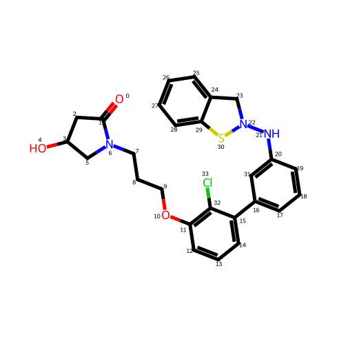 O=C1CC(O)CN1CCCOc1cccc(-c2cccc(NN3Cc4ccccc4S3)c2)c1Cl